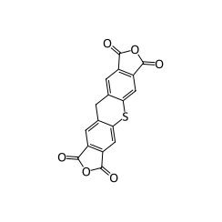 O=C1OC(=O)c2cc3c(cc21)Cc1cc2c(cc1S3)C(=O)OC2=O